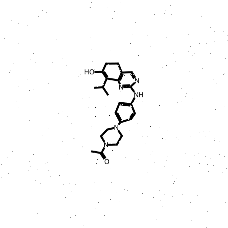 CC(=O)N1CCN(c2ccc(Nc3ncc4c(n3)C(C(C)C)=C(O)CC4)cc2)CC1